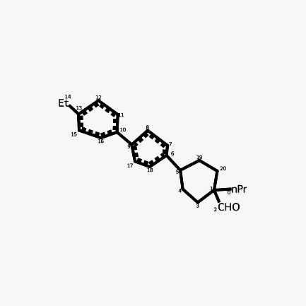 CCCC1(C=O)CCC(c2ccc(-c3ccc(CC)cc3)cc2)CC1